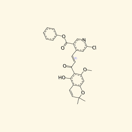 COc1cc2c(c(O)c1C(=O)/C=C/c1cc(Cl)ncc1C(=O)Oc1ccccc1)C=CC(C)(C)O2